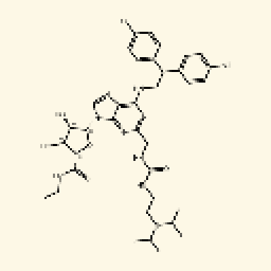 CCNC(=O)[C@H]1O[C@@H](n2cnc3c(NCC(c4ccc(Cl)cc4)c4ccc(Cl)cc4)nc(CNC(=O)NCCN(C(C)C)C(C)C)nc32)[C@H](O)[C@@H]1O